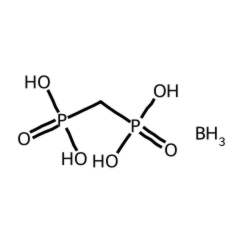 B.O=P(O)(O)CP(=O)(O)O